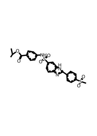 CC(C)OC(=O)c1ccc(NS(=O)(=O)c2ccc3nc(-c4ccc(S(C)(=O)=O)cc4)[nH]c3c2)cc1